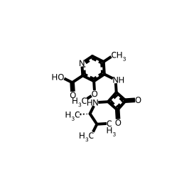 COc1c(C(=O)O)ncc(C)c1Nc1c(N[C@@H](C)C(C)C)c(=O)c1=O